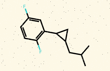 CC(C)CC1CC1c1cc(F)ccc1F